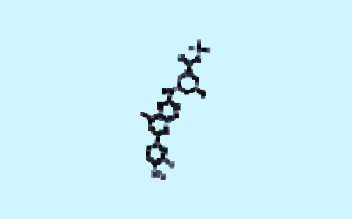 Cc1cc(-c2ccc(N)c(F)c2)nc2cnc(N[C@H]3C[C@H](F)CN(C(=O)OC(C)(C)C)C3)nc12